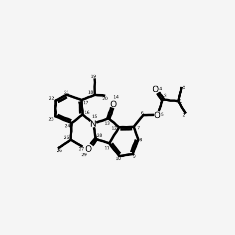 CC(C)C(=O)OCc1cccc2c1C(=O)N(c1c(C(C)C)cccc1C(C)C)C2=O